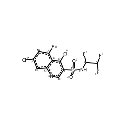 O=S(=O)(NC(F)C(F)F)c1cnc2cc(Cl)cc(F)c2c1Cl